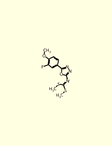 COc1ccc(-c2nnc(N=C(SC)SC)o2)cc1F